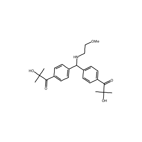 COCCNC(c1ccc(C(=O)C(C)(C)O)cc1)c1ccc(C(=O)C(C)(C)O)cc1